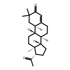 CC(=O)[C@H]1CC[C@H]2[C@@H]3CCC4=CC(=O)C(C)(C)C[C@@H]4[C@H]3CC[C@]12C